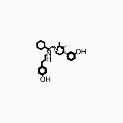 CC1[C@H](C)[C@H](c2cccc(O)c2)CCN1C[C@@H](NCCCc1ccc(O)cc1)C1CCCCC1